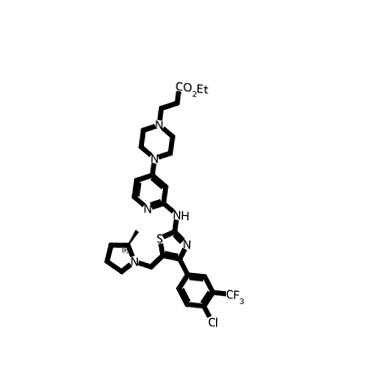 CCOC(=O)CCN1CCN(c2ccnc(Nc3nc(-c4ccc(Cl)c(C(F)(F)F)c4)c(CN4CCC[C@H]4C)s3)c2)CC1